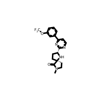 CN1CC[C@@]2(CC[C@H](c3nccc(-c4cccc(OC(F)(F)F)c4)n3)N2)C1=O